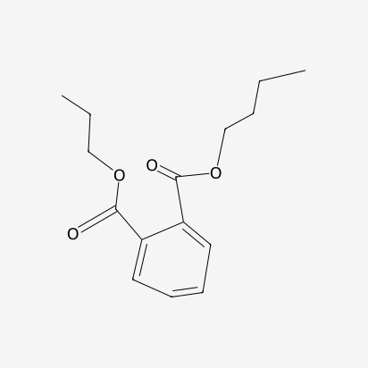 CCCCOC(=O)c1ccccc1C(=O)OCCC